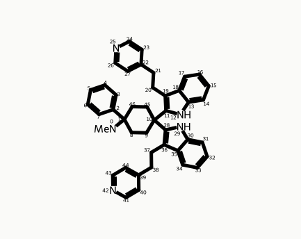 CNC1(c2ccccc2)CCC(c2[nH]c3ccccc3c2CCc2ccncc2)(c2[nH]c3ccccc3c2CCc2ccncc2)CC1